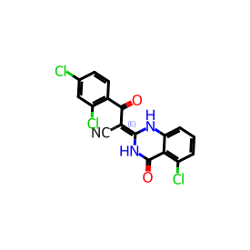 N#C/C(C(=O)c1ccc(Cl)cc1Cl)=C1\NC(=O)c2c(Cl)cccc2N1